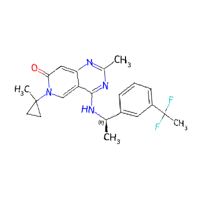 Cc1nc(N[C@H](C)c2cccc(C(C)(F)F)c2)c2cn(C3(C)CC3)c(=O)cc2n1